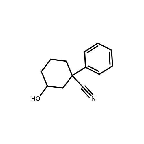 N#CC1(c2ccccc2)CCCC(O)C1